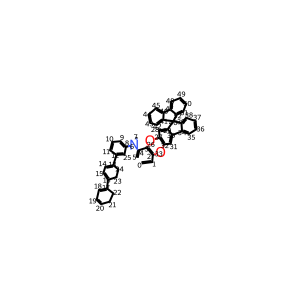 C=CC1=C(C(=C)N(C)c2cccc(C3=CC=C(C4=CC=CCC4)CC3)c2)Oc2cc3c(cc2O1)-c1ccccc1C31c2ccccc2-c2ccccc21